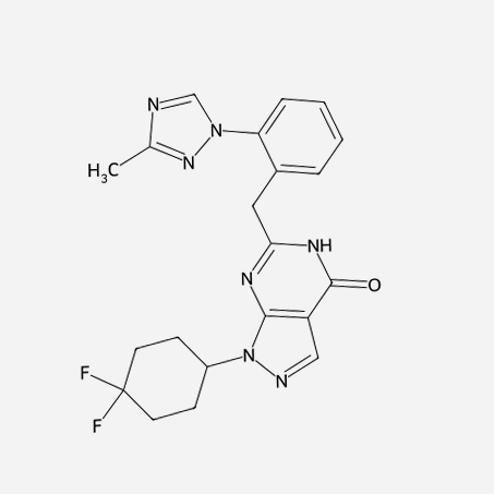 Cc1ncn(-c2ccccc2Cc2nc3c(cnn3C3CCC(F)(F)CC3)c(=O)[nH]2)n1